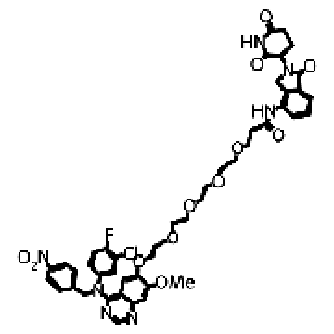 COc1cc2ncnc(N(Cc3ccc([N+](=O)[O-])cc3)c3ccc(F)c(Cl)c3)c2cc1OCCOCCOCCOCCOCCC(=O)Nc1cccc2c1CN(C1CCC(=O)NC1=O)C2=O